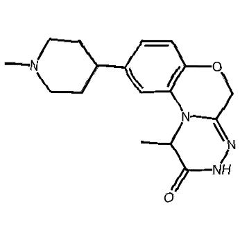 CC1C(=O)NN=C2COc3ccc(C4CCN(C)CC4)cc3N21